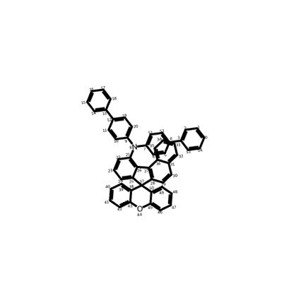 c1ccc(-c2ccc(N(c3ccc(-c4ccccc4)cc3)c3cccc4c3-c3c(ccc5ccccc35)C43c4ccccc4Oc4ccccc43)cc2)cc1